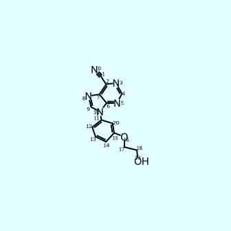 N#Cc1ncnc2c1ncn2-c1cccc(OCCO)c1